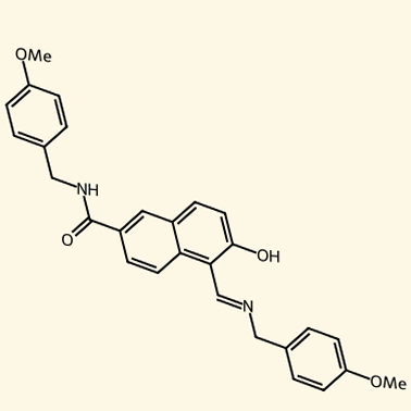 COc1ccc(C/N=C/c2c(O)ccc3cc(C(=O)NCc4ccc(OC)cc4)ccc23)cc1